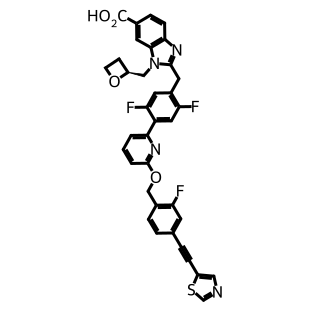 O=C(O)c1ccc2nc(Cc3cc(F)c(-c4cccc(OCc5ccc(C#Cc6cncs6)cc5F)n4)cc3F)n(C[C@@H]3CCO3)c2c1